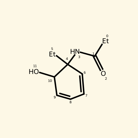 CCC(=O)NC1(CC)C=CC=CC1O